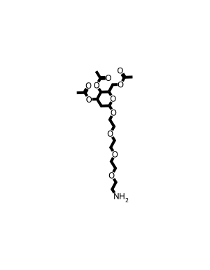 CC(=O)OCC1OC(OCCOCCOCCOCCN)CC(OC(C)=O)C1OC(C)=O